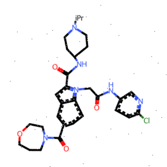 CC(C)N1CCC(NC(=O)c2cc3cc(C(=O)N4CCCOCC4)ccc3n2CC(=O)Nc2ccc(Cl)nc2)CC1